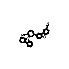 N#CC1=C(n2c3c(c4ccccc42)CCC=C3)CC(c2ccc3oc4ccc(C#N)cc4c3c2)=CC=C1